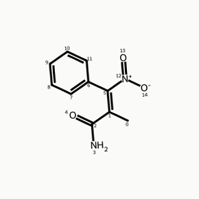 CC(C(N)=O)=C(c1ccccc1)[N+](=O)[O-]